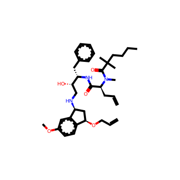 C=CCO[C@@H]1C[C@H](NC[C@H](O)[C@H](Cc2ccccc2)NC(=O)[C@H](CC=C)N(C)C(=O)C(C)(C)CCCC)c2cc(OC)ccc21